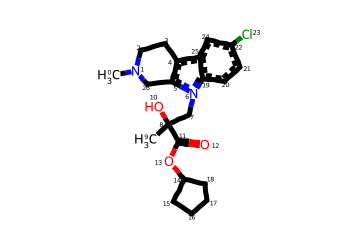 CN1CCc2c(n(CC(C)(O)C(=O)OC3CCCC3)c3ccc(Cl)cc23)C1